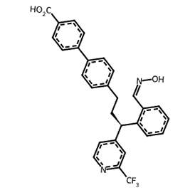 O=C(O)c1ccc(-c2ccc(CC[C@H](c3ccnc(C(F)(F)F)c3)c3ccccc3/C=N\O)cc2)cc1